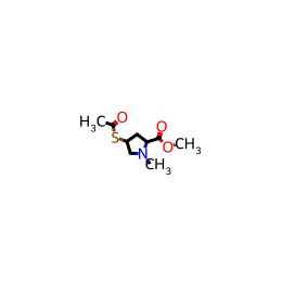 COC(=O)C1CC(SC(C)=O)CN1C